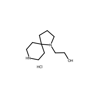 Cl.OCCN1CCCC12CCNCC2